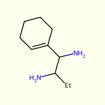 CCC(N)C(N)C1=CCCCC1